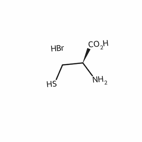 Br.N[C@@H](CS)C(=O)O